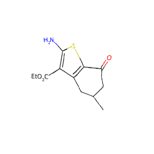 CCOC(=O)c1c(N)sc2c1CC(C)CC2=O